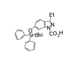 CCc1nn(C(=O)O)c2cc(O[Si](c3ccccc3)(c3ccccc3)C(C)(C)C)ccc12